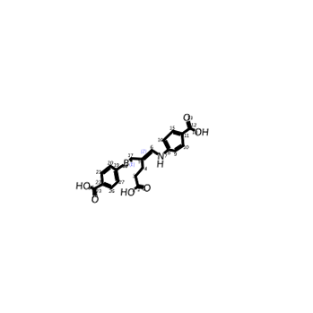 O=C(O)CCC(=C\Nc1ccc(C(=O)O)cc1)/C=B/c1ccc(C(=O)O)cc1